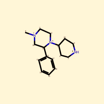 CN1CCN(C2CCNCC2)C(c2ccccc2)C1